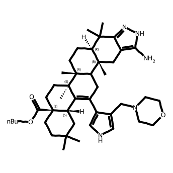 CCCCOC(=O)[C@]12CCC(C)(C)C[C@H]1C1=C(c3c[nH]cc3CN3CCOCC3)CC3[C@@]4(C)Cc5c(n[nH]c5N)C(C)(C)[C@@H]4CC[C@@]3(C)[C@]1(C)CC2